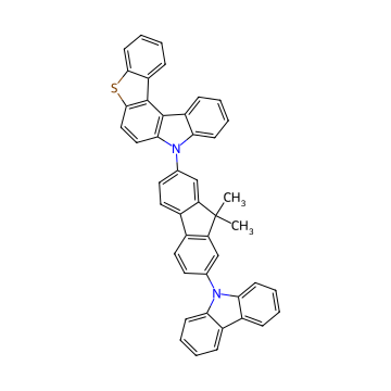 CC1(C)c2cc(-n3c4ccccc4c4ccccc43)ccc2-c2ccc(-n3c4ccccc4c4c5c(ccc43)sc3ccccc35)cc21